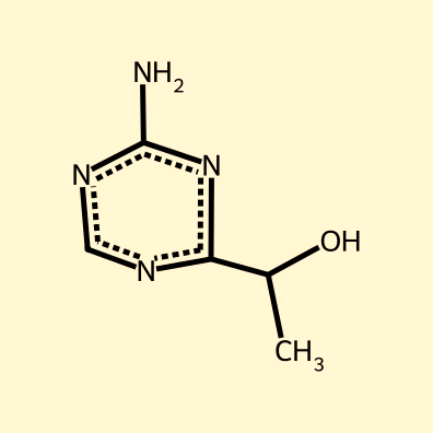 CC(O)c1ncnc(N)n1